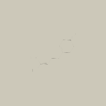 CC(C)=CCCC1=CCC(=O)CC1